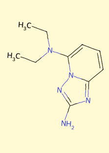 CCN(CC)c1cccc2nc(N)nn12